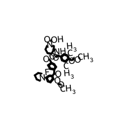 COCOc1ccc(N2CCCCC2)c(F)c1C(=O)c1ccc(C(=O)O[C@@H]2CCCN(C(=O)O)C[C@H]2NC(=O)c2cc(C)c(OCOC)c(C)c2)cc1